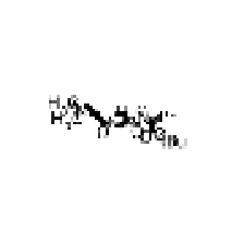 CC(C)[C@@H](C(=O)OC(C)(C)C)N(C)C(=O)[C@H]1CCN(C(=O)C#CCN(C)C)C1